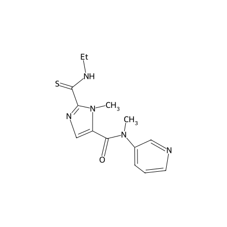 CCNC(=S)c1ncc(C(=O)N(C)c2cccnc2)n1C